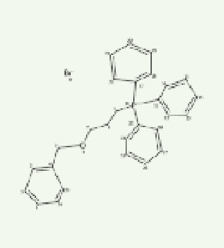 [Br-].c1ccc(COCCC[P+](c2ccccc2)(c2ccccc2)c2ccccc2)cc1